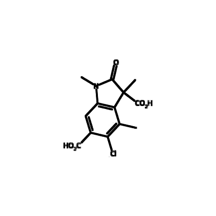 Cc1c(Cl)c(C(=O)O)cc2c1C(C)(C(=O)O)C(=O)N2C